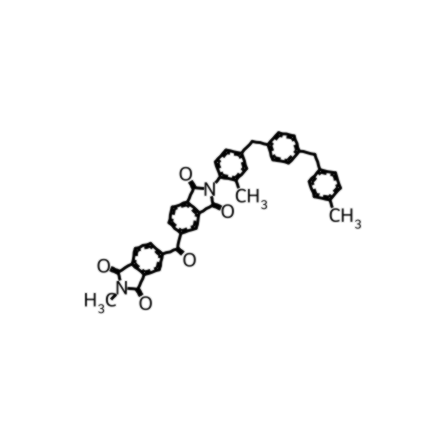 Cc1ccc(Cc2ccc(Cc3ccc(N4C(=O)c5ccc(C(=O)c6ccc7c(c6)C(=O)N(C)C7=O)cc5C4=O)c(C)c3)cc2)cc1